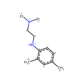 CCN(CC)CCNc1ccc(C)cc1C